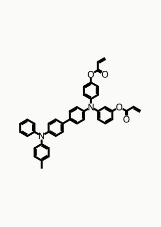 C=CC(=O)Oc1ccc(N(c2ccc(-c3ccc(N(c4ccccc4)c4ccc(C)cc4)cc3)cc2)c2cccc(OC(=O)C=C)c2)cc1